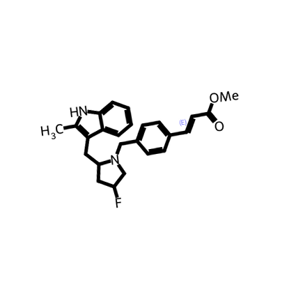 COC(=O)/C=C/c1ccc(CN2CC(F)CC2Cc2c(C)[nH]c3ccccc23)cc1